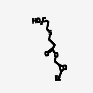 CCC1OC1COC(=O)CCSCCC(=O)O